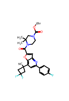 CC(C)(C)OC(=O)N1CCN(C(=O)c2cc3nc(-c4ccc(F)cc4)cc(C4(C#N)CC(F)(F)C4)c3o2)C(C)(C)C1